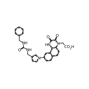 O=C(O)Cn1c(=O)c(=O)[nH]c2c3cc(-n4ccc(CNC(=O)NCc5ccccc5)c4)ccc3ccc21